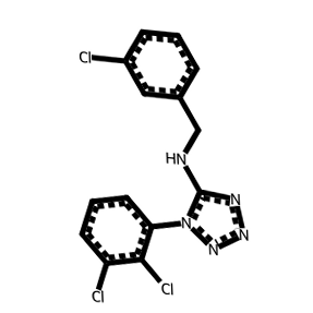 Clc1cccc(CNc2nnnn2-c2cccc(Cl)c2Cl)c1